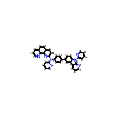 c1ccc(N(c2ccc(-c3ccc4c(c3)c3cccnc3n4-c3ccccn3)cc2)c2ccc3ccc4cccnc4c3n2)nc1